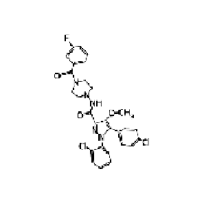 COc1c(C(=O)NN2CCN(C(=O)c3cccc(F)c3)CC2)nn(-c2ccccc2Cl)c1-c1ccc(Cl)cc1